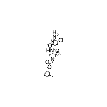 COc1nc(N)c(Cl)cc1C(=O)N[C@H]1CCN(CC(=O)OCc2cccc(C)c2)C[C@H]1OC